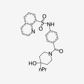 CCCC1(O)CCN(C(=O)c2ccc(NS(=O)(=O)c3cccc4cccnc34)cc2)CC1